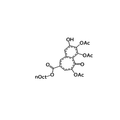 CCCCCCCCOC(=O)c1cc(OC(C)=O)c(=O)c2c(OC(C)=O)c(OC(C)=O)c(O)cc2c1